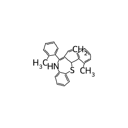 C=CC1=C(c2ccccc2C)Nc2ccccc2SC1c1ccccc1C